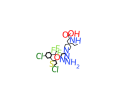 CCC1NC(C(=O)O)CC12CCN(c1cc(O[C@H](c3ccc(Cl)cc3-c3ccc(Cl)s3)C(F)(F)F)nc(N)n1)CC2